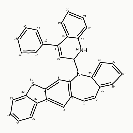 C1=Cc2cc3c(cc2N(C2C=C(c4ccccc4)c4ccccc4N2)c2ccccc21)sc1ccccc13